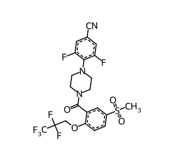 CS(=O)(=O)c1ccc(OCC(F)(F)C(F)(F)F)c(C(=O)N2CCN(c3c(F)cc(C#N)cc3F)CC2)c1